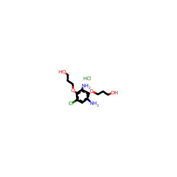 Cl.Nc1cc(Cl)c(OCCCO)c(N)c1OCCCO